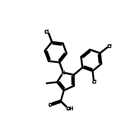 Cc1c(C(=O)O)cc(-c2ccc(Cl)cc2Cl)n1-c1ccc(Cl)cc1